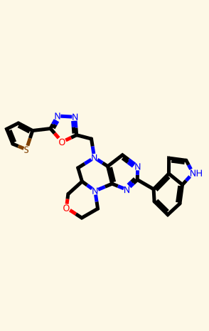 c1csc(-c2nnc(CN3CC4COCCN4c4nc(-c5cccc6[nH]ccc56)ncc43)o2)c1